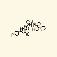 CC1(c2cc(-c3ccc(F)cc3)nc3cc(C(=O)N4CCN(C(=O)[C@H](O)C5CCCCC5)CC4(C)C)oc23)CC1